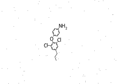 CCCc1cc(Cl)c(Oc2ccc(N)cc2)c(Cl)c1